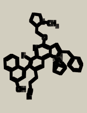 CN1CCCC1COc1nc2c(F)c(-c3cc(O)cc4ccccc34)c(CCC#N)cc2c2c1cc(Cc1ccccc1)n2C1C2CNC1C2